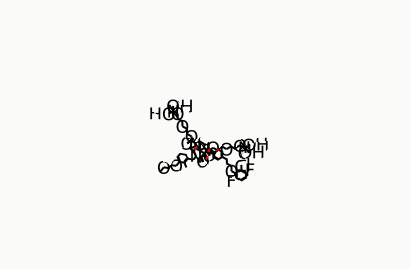 COCCOc1cccc(CN(C(=O)C2(C)C(c3ccc(CCCOc4c(F)ccc(F)c4Cl)cc3)CC3CN(C(=O)OCCOCCON(O)O)CC2N3C(=O)OCCOCCON(O)O)C2CC2)c1C